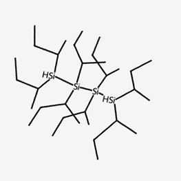 CCC(C)[SiH](C(C)CC)[Si](C(C)CC)(C(C)CC)[Si](C(C)CC)(C(C)CC)[SiH](C(C)CC)C(C)CC